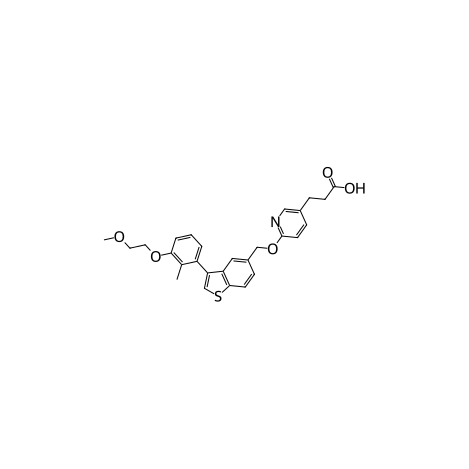 COCCOc1cccc(-c2csc3ccc(COc4ccc(CCC(=O)O)cn4)cc23)c1C